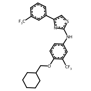 FC(F)(F)c1cccc(-c2csc(Nc3ccc(OCC4CCCCC4)c(C(F)(F)F)c3)n2)c1